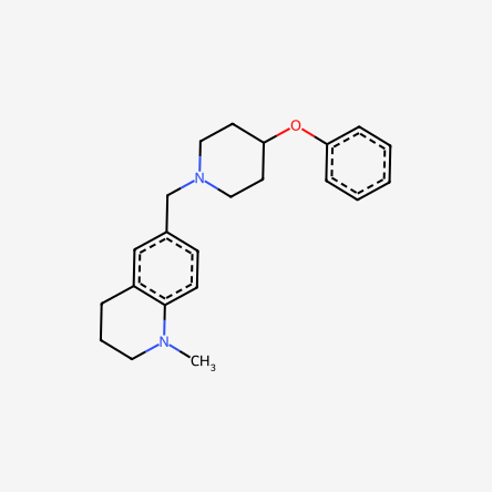 CN1CCCc2cc(CN3CCC(Oc4ccccc4)CC3)ccc21